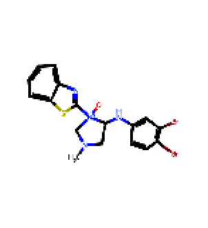 CN1CC(Nc2ccc(Br)c(Br)c2)[N+]([O-])(c2nc3ccccc3s2)C1